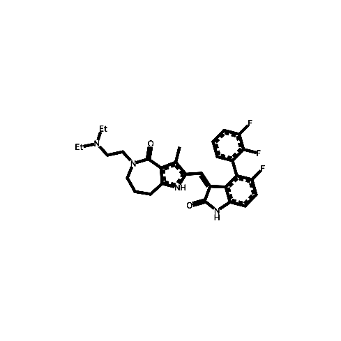 CCN(CC)CCN1CCCc2[nH]c(/C=C3\C(=O)Nc4ccc(F)c(-c5cccc(F)c5F)c43)c(C)c2C1=O